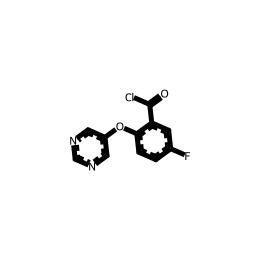 O=C(Cl)c1cc(F)ccc1Oc1cncnc1